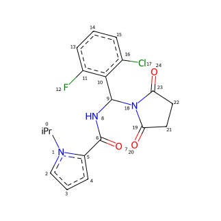 CC(C)n1cccc1C(=O)NC(c1c(F)cccc1Cl)N1C(=O)CCC1=O